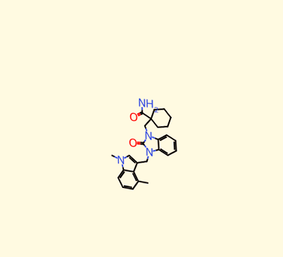 Cc1cccc2c1c(Cn1c(=O)n(CC3(C(N)=O)CCCCC3)c3ccccc31)cn2C